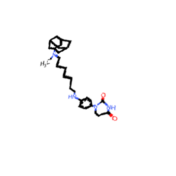 CN(CCCCCCCNc1ccc(N2CCC(=O)NC2=O)cc1)C12CC3CC(CC(C3)C1)C2